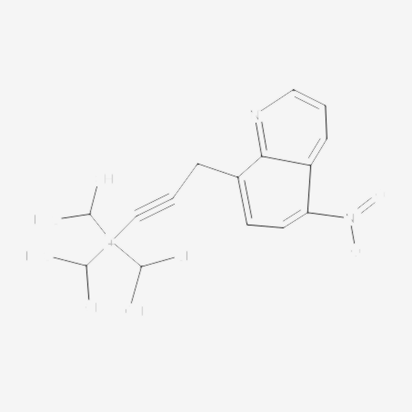 CC(C)[Si](C#CCc1ccc([N+](=O)[O-])c2cccnc12)(C(C)C)C(C)C